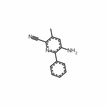 Cc1cc(N)c(-c2ccccc2)nc1C#N